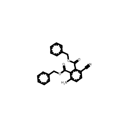 N#Cc1ccc(N)c(C(=O)OCc2ccccc2)c1C(=O)OCc1ccccc1